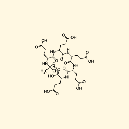 CC(C)(C)N[C@@H](CCC(=O)O)C(=O)N[C@@H](CCC(=O)O)C(=O)N[C@@H](CCC(=O)O)C(=O)N[C@@H](CCC(=O)O)C(=O)N[C@@H](CCC(=O)O)C(=O)O